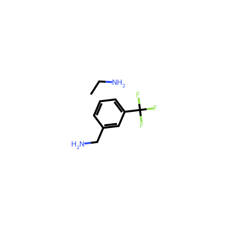 CCN.NCc1cccc(C(F)(F)F)c1